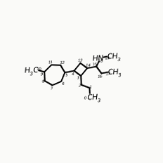 CCCC1C(C2CCCC(C)CC2)CC1C(CC)NC